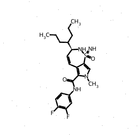 CCCC(CCC)[C@@H]1C=Cc2c(cn(C)c2C(=O)Nc2ccc(F)c(F)c2)S(=N)(=O)N1